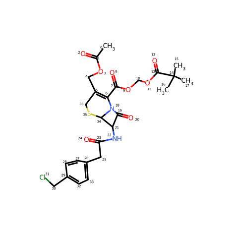 CC(=O)OCC1=C(C(=O)OCOC(=O)C(C)(C)C)N2C(=O)C(NC(=O)Cc3ccc(CCl)cc3)C2SC1